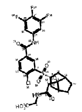 O=C(O)CNC(=O)C[C@]1(O)C2CCC1C[C@@H](S(=O)(=O)c1cc(C(=O)Nc3cc(F)c(F)c(F)c3)ccc1Cl)C2